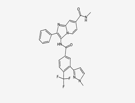 CNC(=O)c1ccn2c(NC(=O)c3ccc(C(F)(F)F)c(-c4ccn(C)n4)c3)c(-c3ccccc3)nc2c1